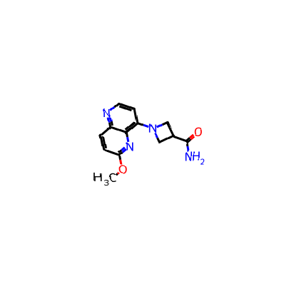 COc1ccc2nccc(N3CC(C(N)=O)C3)c2n1